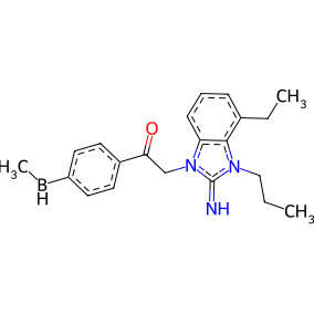 CBc1ccc(C(=O)Cn2c(=N)n(CCC)c3c(CC)cccc32)cc1